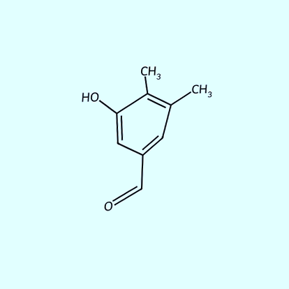 Cc1cc(C=O)cc(O)c1C